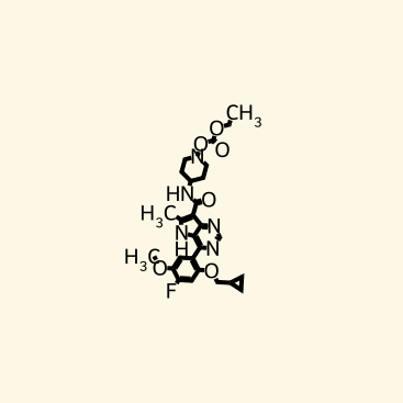 CCOC(=O)ON1CCC(NC(=O)c2c(C)[nH]c3c(-c4cc(OC)c(F)cc4OCC4CC4)ncnc23)CC1